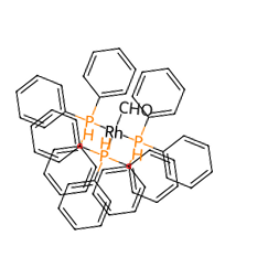 O=[CH][Rh]([PH](c1ccccc1)(c1ccccc1)c1ccccc1)([PH](c1ccccc1)(c1ccccc1)c1ccccc1)[PH](c1ccccc1)(c1ccccc1)c1ccccc1